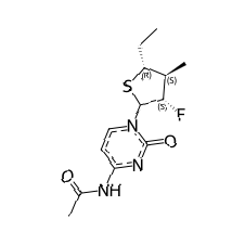 CC[C@H]1SC(n2ccc(NC(C)=O)nc2=O)[C@@H](F)[C@@H]1C